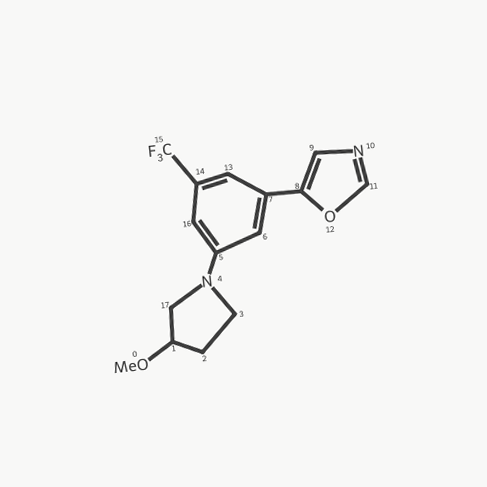 COC1CCN(c2cc(-c3cnco3)cc(C(F)(F)F)c2)C1